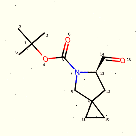 CC(C)(C)OC(=O)N1CC2(CC2)C[C@@H]1C=O